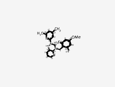 COc1cc(F)c(CN2C(=O)N(c3cc(C)cc(C)n3)Sc3cccnc32)c(F)c1